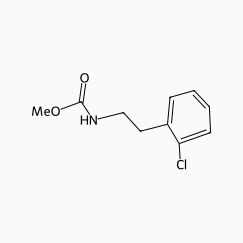 COC(=O)NCCc1ccccc1Cl